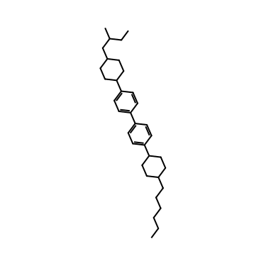 CCCCCCC1CCC(c2ccc(-c3ccc(C4CCC(CC(C)CC)CC4)cc3)cc2)CC1